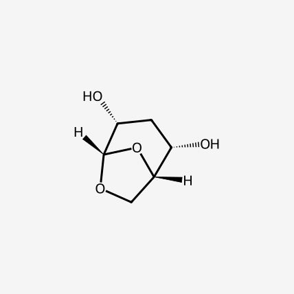 O[C@@H]1C[C@H](O)[C@@H]2CO[C@H]1O2